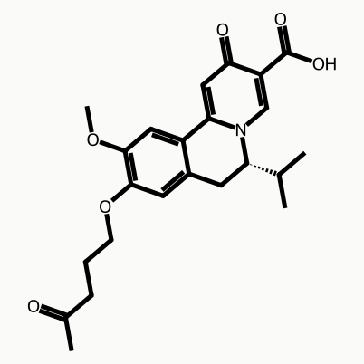 COc1cc2c(cc1OCCCC(C)=O)C[C@@H](C(C)C)n1cc(C(=O)O)c(=O)cc1-2